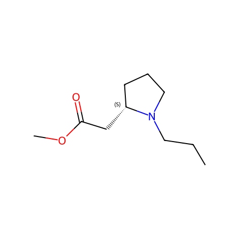 CCCN1CCC[C@H]1CC(=O)OC